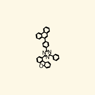 C1=CC2Oc3cccc(-c4nc(-c5ccccc5)nc(-c5ccc(-c6cc7ccccc7c7ccccc67)cc5)n4)c3C2C=C1